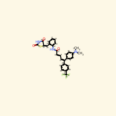 CN(C)c1ccc(/C(=C\C=C\C(=O)Nc2ccccc2/C=C2/SC(=O)NC2=O)c2ccc(C(F)(F)F)cc2)cc1